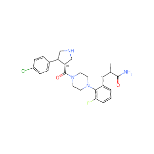 CC([CH]c1cccc(F)c1N1CCN(C(=O)[C@@H]2CNCC2c2ccc(Cl)cc2)CC1)C(N)=O